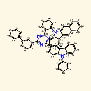 c1ccc(-c2cccc(-c3nc(-c4ccc5c(c4)c4ccccc4n5-c4ccccc4)nc(-c4ccccc4-n4c5ccccc5c5cc6ccccc6cc54)n3)c2)cc1